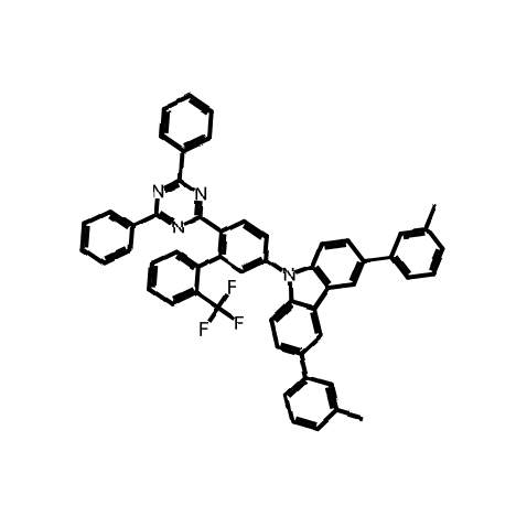 Cc1cccc(-c2ccc3c(c2)c2cc(-c4cccc(C)c4)ccc2n3-c2ccc(-c3nc(-c4ccccc4)nc(-c4ccccc4)n3)c(-c3ccccc3C(F)(F)F)c2)c1